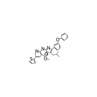 COC(=O)c1cc(-c2cccs2)cnc1N(C)c1nc(-c2cccc(Oc3ccccc3)c2)c(CC(C)C)s1